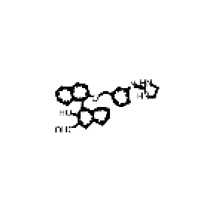 O=Cc1cc2ccccc2c(-c2c(OCc3cccc(N=C4NCCN4)c3)ccc3ccccc23)c1O